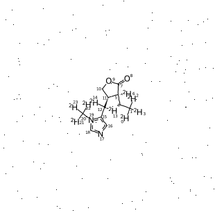 [2H]C([2H])([2H])C[C@]1([2H])C(=O)OC[C@@H]1C([2H])([2H])c1cncn1C([2H])([2H])[2H]